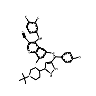 CC(C)(C)N1CCC(N2C=C([C@@H](Nc3cc(F)c4ncc(C#N)c(Nc5ccc(F)c(Cl)c5)c4c3)c3ccc(Cl)cc3)NN2)CC1